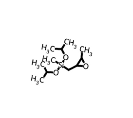 CC(C)O[Si](C)(CC1OC1C)OC(C)C